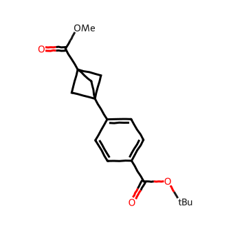 COC(=O)C12CC(c3ccc(C(=O)OC(C)(C)C)cc3)(C1)C2